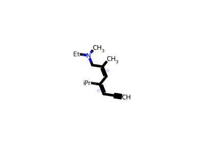 C#C/C=C(\C=C(\C)CN(C)CC)C(C)C